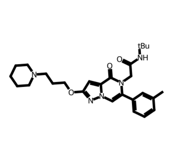 Cc1cccc(-c2cn3nc(OCCCN4CCCCC4)cc3c(=O)n2CC(=O)NC(C)(C)C)c1